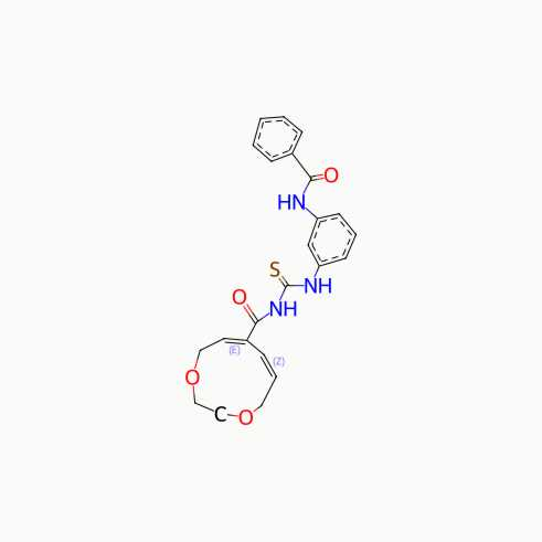 O=C(NC(=S)Nc1cccc(NC(=O)c2ccccc2)c1)C1=C/COCCOC/C=C\1